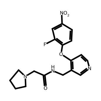 O=C(CN1CCCC1)NCc1cnccc1Oc1ccc([N+](=O)[O-])cc1F